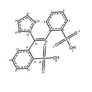 O=S(=O)(O)c1ccccc1C=C(c1ccccc1S(=O)(=O)O)n1nccn1